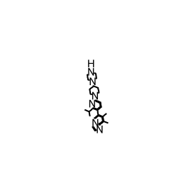 Cc1c(-c2ccc(N3CCC(N4CCNCC4)CC3)nc2C(C)C)cn2ccnc2c1C